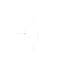 CCOC(C)=O.CCP(CC)CC